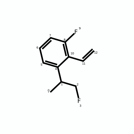 [CH2]C(CF)c1cccc(F)c1C=C